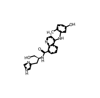 Cc1ccc(O)cc1Nc1ccnc2c(C(=O)N[C@H](CO)Cc3c[nH]cn3)cccc12